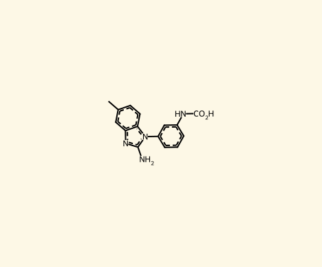 Cc1ccc2c(c1)nc(N)n2-c1cccc(NC(=O)O)c1